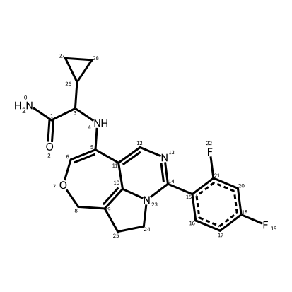 NC(=O)C(NC1=COCC2=C3C1=CN=C(c1ccc(F)cc1F)N3CC2)C1CC1